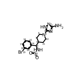 Nc1n[nH]c(N2CCC(C(N[SH](=O)=O)c3cccc(Br)c3)CC2)n1